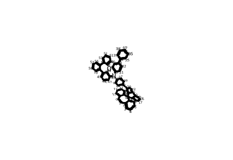 C1=Cc2ccccc2C2(c3ccccc31)c1ccccc1-c1ccc(-c3ccc(N(c4ccc(-c5ccccc5)cc4)c4cccc5c4Oc4ccccc4-c4ccccc4-5)cc3)cc12